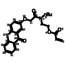 C=CC(=O)OCCN(CCCC)C(=O)COc1ccc2sc3ccccc3c(=O)c2c1